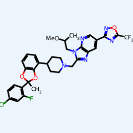 COC(C)Cn1c(CN2CCC(c3cccc4c3OC(C)(c3ccc(Cl)cc3F)O4)CC2)nc2cc(-c3noc(C(F)(F)F)n3)cnc21